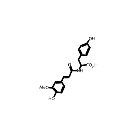 COc1cc(C=CC(=O)NC(Cc2ccc(O)cc2)C(=O)O)ccc1O